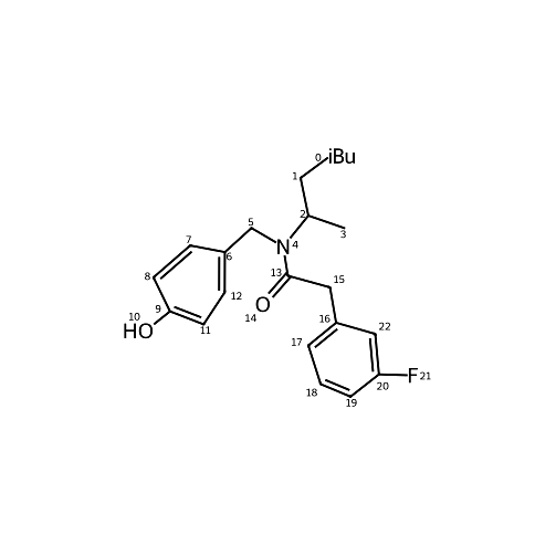 CCC(C)CC(C)N(Cc1ccc(O)cc1)C(=O)Cc1cccc(F)c1